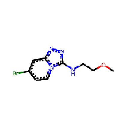 COCCNc1nnc2cc(Br)ccn12